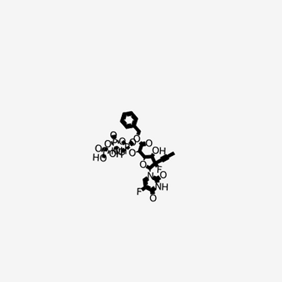 CC#CC1(F)C(O)[C@@H]([C@H](OP(=O)(O)OP(=O)(O)OP(=O)(O)O)C(=O)OCc2ccccc2)O[C@H]1n1cc(F)c(=O)[nH]c1=O